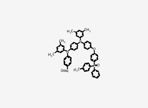 COc1ccc(N(c2ccc(N(c3ccc(Oc4ccc(P(=O)(c5ccccc5)c5ccc(C)cc5)cc4)cc3)c3cc(C)cc(C)c3)cc2)c2cc(C)cc(C)c2)cc1